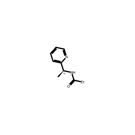 CCC(=O)N[C@@H](C)c1ccccn1